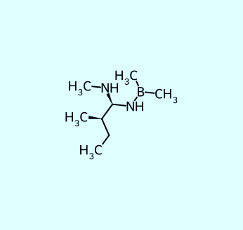 CC[C@@H](C)[C@@H](NC)NB(C)C